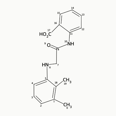 Cc1cccc(NCC(=O)Nc2ccccc2C(=O)O)c1C